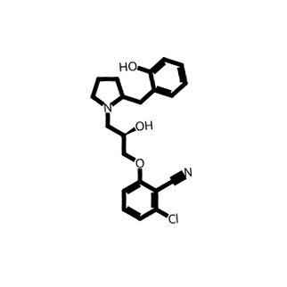 N#Cc1c(Cl)cccc1OC[C@H](O)CN1CCCC1Cc1ccccc1O